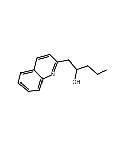 CCCC(O)Cc1ccc2ccccc2n1